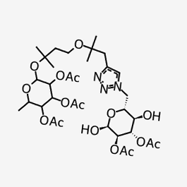 CC(=O)OC1C(C)OC(OC(C)(C)CCOC(C)(C)Cc2cn(C[C@H]3O[C@H](O)[C@H](OC(C)=O)[C@@H](OC(C)=O)[C@@H]3O)nn2)C(OC(C)=O)C1OC(C)=O